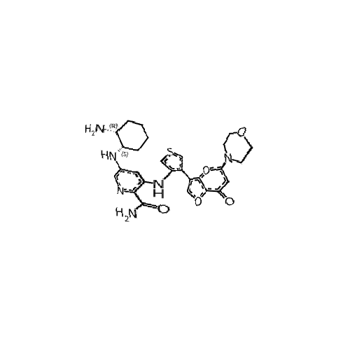 NC(=O)c1ncc(N[C@H]2CCCC[C@H]2N)cc1Nc1cscc1-c1coc2c(=O)cc(N3CCOCC3)oc12